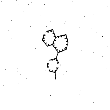 Cc1nc(-c2cccc3cnccc23)no1